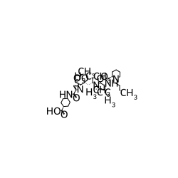 CCCCN1CCCC[C@@H]1C(=O)N[C@H](C(=O)N(C)[C@H](C[C@@H](OC(C)=O)c1nc(C(=O)N[C@H]2CC[C@H](C(=O)O)CC2)cs1)C(C)C)C(C)C